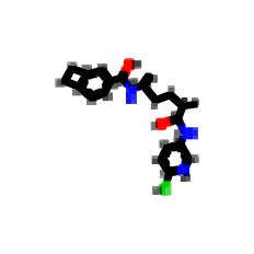 C=C(CCC(C)C(=O)Nc1ccc(Cl)nc1)NC(=O)c1ccc2c(c1)CC2